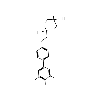 CCCC1(C)COC(O)(CCc2ccc(-c3cc(F)c(F)c(F)c3)cc2)OC1